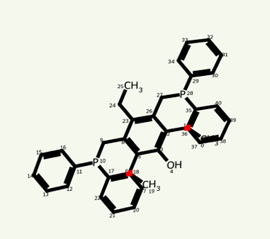 CCc1c(O)c(CC)c(CP(c2ccccc2)c2ccccc2)c(CC)c1CP(c1ccccc1)c1ccccc1